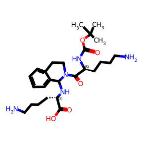 CC(C)(C)OC(=O)N[C@@H](CCCCN)C(=O)N1CCc2ccccc2C1N[C@@H](CCCCN)C(=O)O